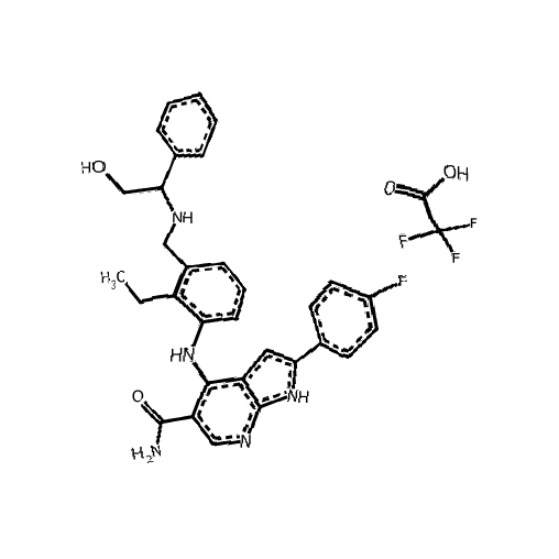 CCc1c(CNC(CO)c2ccccc2)cccc1Nc1c(C(N)=O)cnc2[nH]c(-c3ccc(F)cc3)cc12.O=C(O)C(F)(F)F